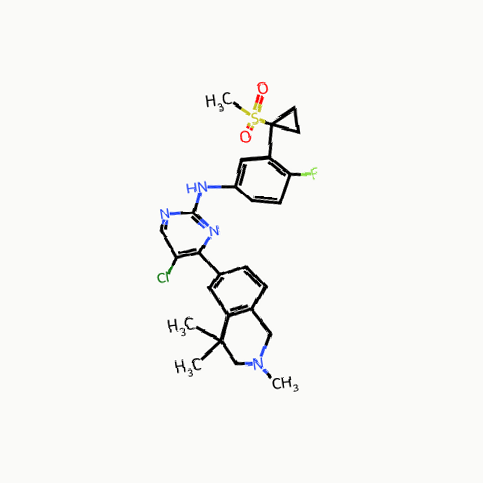 CN1Cc2ccc(-c3nc(Nc4ccc(F)c(C5(S(C)(=O)=O)CC5)c4)ncc3Cl)cc2C(C)(C)C1